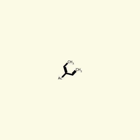 C=CC(=CC)C(C)=O